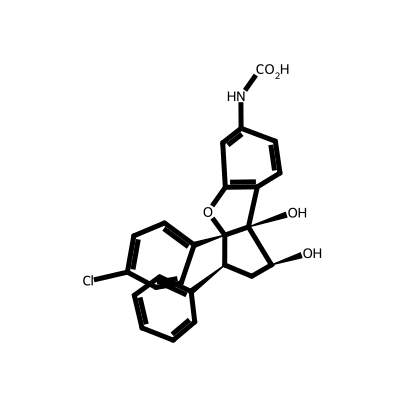 O=C(O)Nc1ccc2c(c1)O[C@@]1(c3ccc(Cl)cc3)[C@H](c3ccccc3)C[C@H](O)[C@@]21O